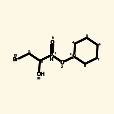 O=[PH](ON1CCCCC1)C(O)CBr